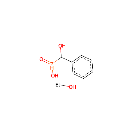 CCO.O=[PH](O)C(O)c1ccccc1